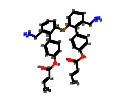 CC=CC(=O)Oc1ccc(-c2c(CN)cccc2Sc2cccc(CN)c2-c2ccc(OC(=O)C=CC)cc2)cc1